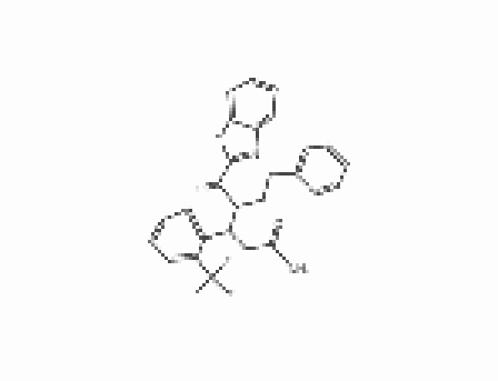 NC(=O)CC(c1ccccc1C(F)(F)F)C(CCc1ccccc1)C(=O)c1nc2ccccc2o1